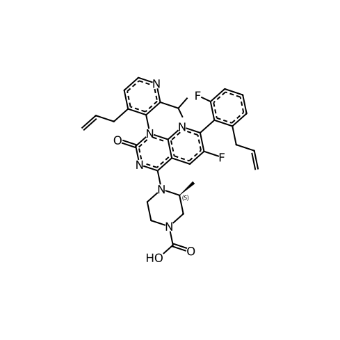 C=CCc1cccc(F)c1-c1nc2c(cc1F)c(N1CCN(C(=O)O)C[C@@H]1C)nc(=O)n2-c1c(CC=C)ccnc1C(C)C